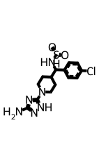 Nc1n[nH]c(N2CCC(C(N[SH](=O)=O)c3ccc(Cl)cc3)CC2)n1